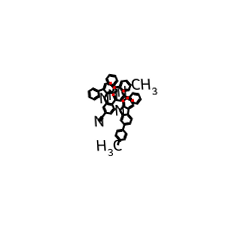 Cc1ccc(-c2ccc3c4ccccc4n(-c4cc(C#N)cc(-n5c6ccccc6c6ccc(-c7ccc(C)cc7)cc65)c4-c4cc(-c5ccccc5)nc(-c5ccccc5)n4)c3c2)cc1